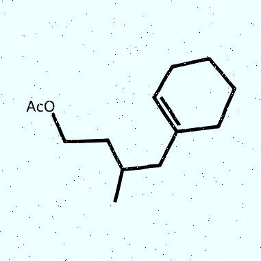 CC(=O)OCCC(C)CC1=CCCCC1